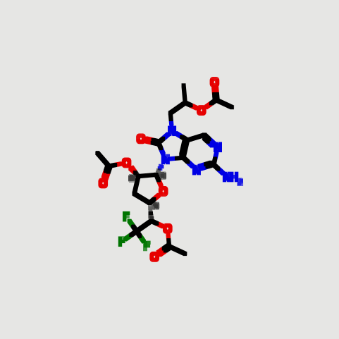 CC(=O)OC(C)Cn1c(=O)n([C@@H]2O[C@H](C(OC(C)=O)C(F)(F)F)C[C@H]2OC(C)=O)c2nc(N)ncc21